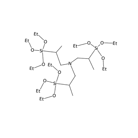 CCO[Si](OCC)(OCC)C(C)CN(CC(C)[Si](OCC)(OCC)OCC)CC(C)[Si](OCC)(OCC)OCC